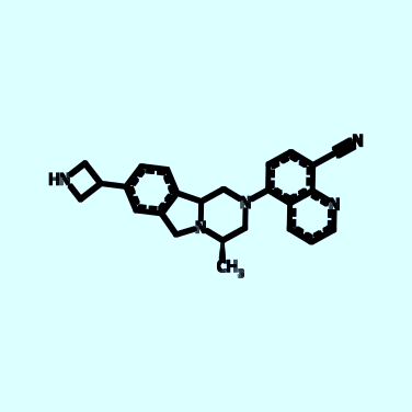 C[C@@H]1CN(c2ccc(C#N)c3ncccc23)CC2c3ccc(C4CNC4)cc3CN21